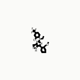 CCN(c1nc(-c2ccccc2COC)c2[nH]ncc2n1)c1ccc(C(F)(F)F)cc1Cl